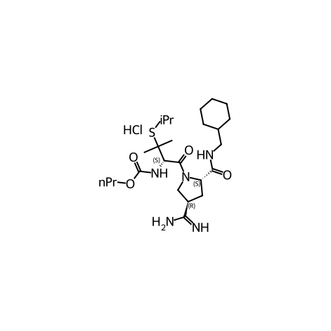 CCCOC(=O)N[C@@H](C(=O)N1C[C@H](C(=N)N)C[C@H]1C(=O)NCC1CCCCC1)C(C)(C)SC(C)C.Cl